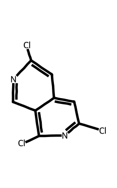 Clc1cc2cc(Cl)nc(Cl)c2cn1